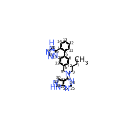 CCCCN(Cc1ccc(-c2ccccc2-c2nnn[nH]2)cc1)c1ncnc2[nH]ncc12